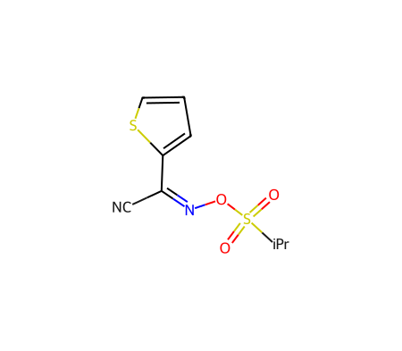 CC(C)S(=O)(=O)O/N=C(/C#N)c1cccs1